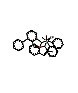 CC1=Cc2ccccc2[CH]1[Ti]([CH3])([CH3])(=[SiH2])([c]1ccccc1)([c]1ccccc1)[CH]1C=Cc2c(-c3ccccc3)cccc21